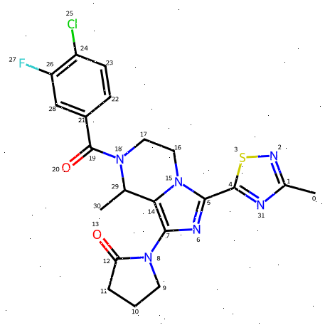 Cc1nsc(-c2nc(N3CCCC3=O)c3n2CCN(C(=O)c2ccc(Cl)c(F)c2)C3C)n1